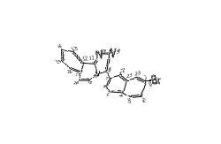 Brc1ccc2ccc(-c3nnc4c5ccccc5ccn34)cc2c1